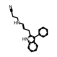 N#CCCNC=CCc1[nH]c2ccccc2c1-c1ccccc1